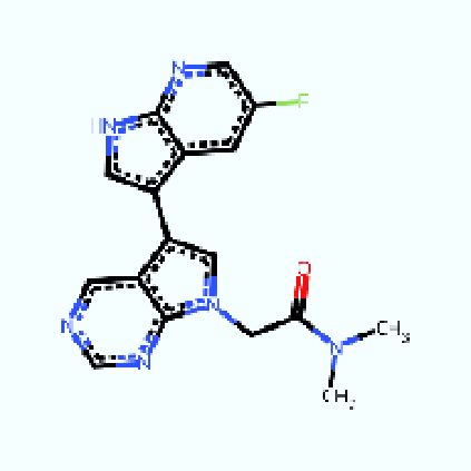 CN(C)C(=O)Cn1cc(-c2c[nH]c3ncc(F)cc23)c2cncnc21